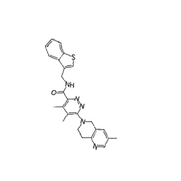 Cc1cnc2c(c1)CN(c1nnc(C(=O)NCc3csc4ccccc34)c(C)c1C)CC2